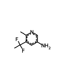 Cc1ncc(N)cc1C(C)(F)F